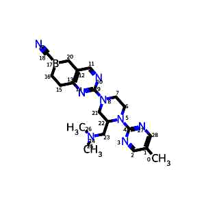 Cc1cnc(N2CCN(c3ncc4c(n3)CCB(C#N)C4)CC2CN(C)C)nc1